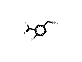 CCC(=O)c1cc(CN)ccc1Br